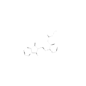 CC(C)(C)OC(=O)Cc1ccccc1C=CN1C(=O)c2ccccc2C1=O